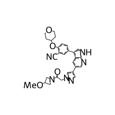 COC1CN(C(=O)Cn2cc(-c3cnc4[nH]cc(-c5ccc(OC6CCOCC6)c(C#N)c5)c4c3)cn2)C1